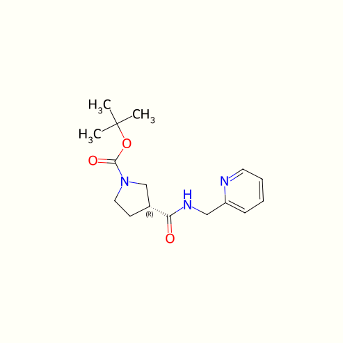 CC(C)(C)OC(=O)N1CC[C@@H](C(=O)NCc2ccccn2)C1